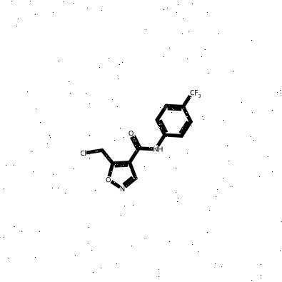 O=C(Nc1ccc(C(F)(F)F)cc1)c1cnoc1CCl